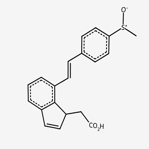 C[S+]([O-])c1ccc(C=Cc2cccc3c2C(CC(=O)O)C=C3)cc1